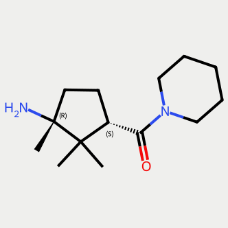 CC1(C)[C@@H](C(=O)N2CCCCC2)CC[C@@]1(C)N